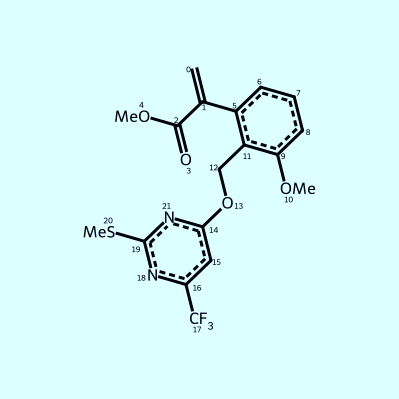 C=C(C(=O)OC)c1cccc(OC)c1COc1cc(C(F)(F)F)nc(SC)n1